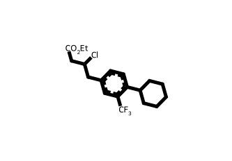 CCOC(=O)CC(Cl)Cc1ccc(C2CCCCC2)c(C(F)(F)F)c1